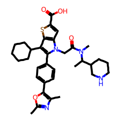 Cc1nc(C)c(-c2ccc(-c3c(C4CCCCC4)c4sc(C(=O)O)cc4n3CC(=O)N(C)C(C)C3CCCNC3)cc2)o1